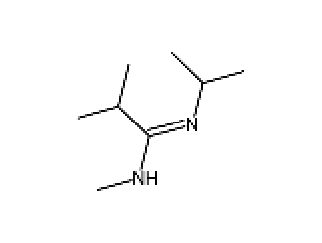 CN/C(=N/C(C)C)C(C)C